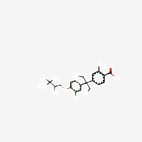 CCC(CC)(c1ccc(C(=O)O)c(C)c1)c1ccc(OCC(O)C(C)(C)C)c(Cl)c1